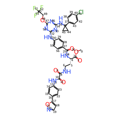 COC(=O)[C@H](CCNC(=O)C(=O)Nc1ccc(-c2ccno2)cc1)NC(=O)c1ccc(Nc2nc(NC3(c4ccc(Cl)cc4)CC3)nc(OCC(F)(F)F)n2)cc1